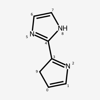 C1=CN=C(c2ncc[nH]2)C1